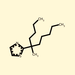 CCCCCC(C)(CCCC)c1nccs1